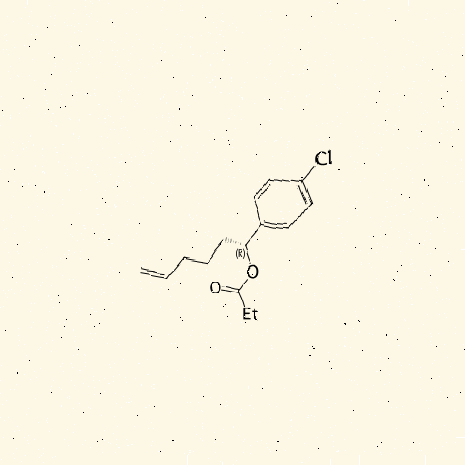 C=CCCC[C@@H](OC(=O)CC)c1ccc(Cl)cc1